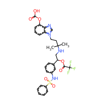 CC(C)(CCn1cnc2c(OC(=O)O)cccc21)NCC(OC(=O)C(F)(F)F)c1cccc(NS(=O)(=O)c2ccccc2)c1